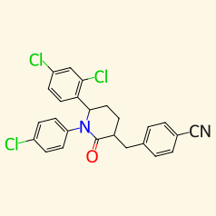 N#Cc1ccc(CC2CCC(c3ccc(Cl)cc3Cl)N(c3ccc(Cl)cc3)C2=O)cc1